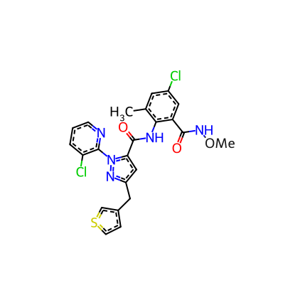 CONC(=O)c1cc(Cl)cc(C)c1NC(=O)c1cc(Cc2ccsc2)nn1-c1ncccc1Cl